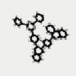 c1ccc(-c2nc(-c3ccccc3)nc(-c3ccc(-c4cc5ccccc5cc4-c4ccc(-c5nc6ccccc6c6ccccc56)cc4)cc3)n2)cc1